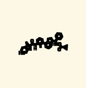 Cc1c(NC(=O)c2nc3c(n2C)CCNC3)cccc1-c1cccc2c1CCC2C(NOC(=O)C1CC1)c1ccccc1